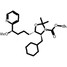 CO[C@H](CCC[C@@H]1OC(C)(C)N(C(=O)OC(C)(C)C)[C@H]1CC1CCCCC1)c1ccccn1